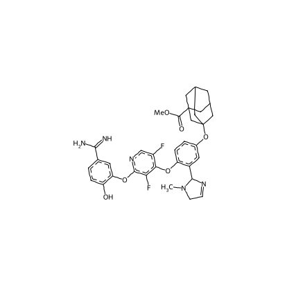 COC(=O)C12CC3CC(CC(Oc4ccc(Oc5c(F)cnc(Oc6cc(C(=N)N)ccc6O)c5F)c(C5N=CCN5C)c4)(C3)C1)C2